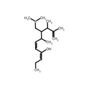 C=C(C)C(C)C(CN(C)C)C(C)/C=C\C(O)=C/CC